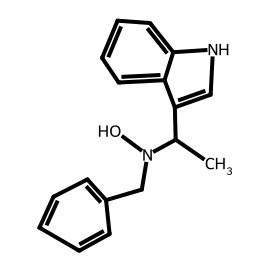 CC(c1c[nH]c2ccccc12)N(O)Cc1ccccc1